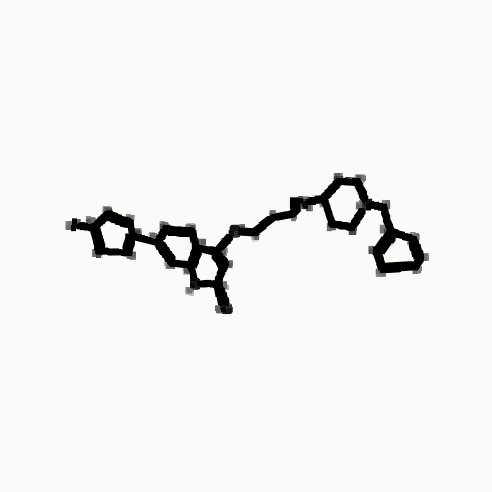 O=c1cc(OCCCNC2CCN(Cc3ccccc3)CC2)c2ccc(-c3ccc(F)cc3)cc2o1